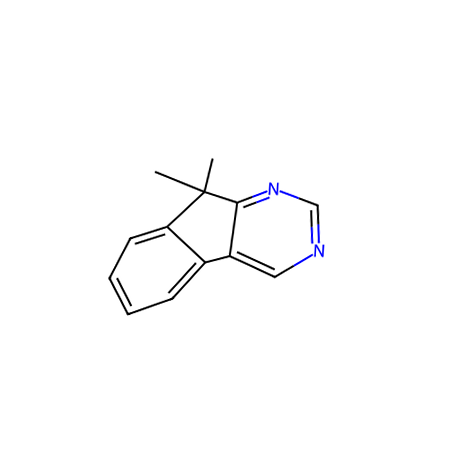 CC1(C)c2ccccc2-c2cncnc21